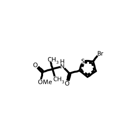 COC(=O)C(C)(C)NC(=O)c1ccc(Br)s1